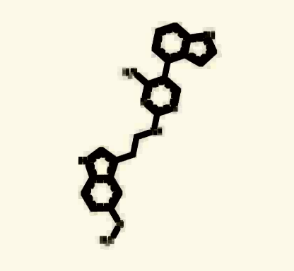 COc1ccc2[nH]cc(CCNc3ncc(-c4cccc5[nH]ccc45)c(N)n3)c2c1